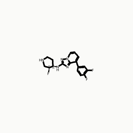 Fc1ccc(-c2cccn3nc(N[C@@H]4CCNC[C@@H]4F)nc23)cc1F